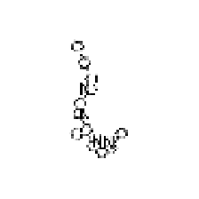 c1ccc(-c2ccc(-c3ccc4ccc(-c5ccc6ccc(-c7ccc(-c8ccc9ccc%10ccc(-c%11ccccc%11)nc%10c9n8)c8ccccc78)nc6c5)nc4c3)cc2)cc1